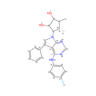 CC1C(O)C(O)C(n2cc(-c3ccccc3)c3c(Nc4ccc(F)cc4)ncnc32)[C@H]1C